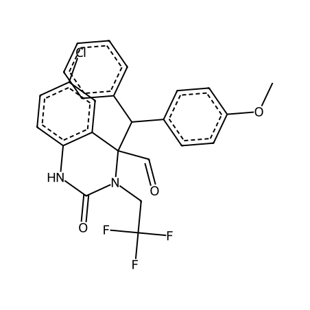 COc1ccc(C(c2ccccc2)C2(C=O)c3cc(Cl)ccc3NC(=O)N2CC(F)(F)F)cc1